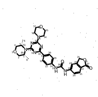 C[C@@H]1COC[C@H](C)N1c1nc(-c2ccc(NC(=O)Nc3ccc4c(c3)COC4=O)cc2)nc(N2CCOCC2)n1